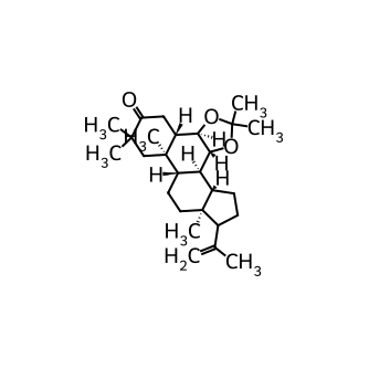 C=C(C)C1CC[C@H]2[C@@H]3[C@H]4OC(C)(C)O[C@@H]4[C@H]4CC(=O)C(C)(C)C[C@]4(C)[C@H]3CC[C@]12C